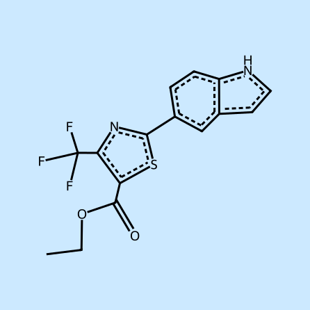 CCOC(=O)c1sc(-c2ccc3[nH]ccc3c2)nc1C(F)(F)F